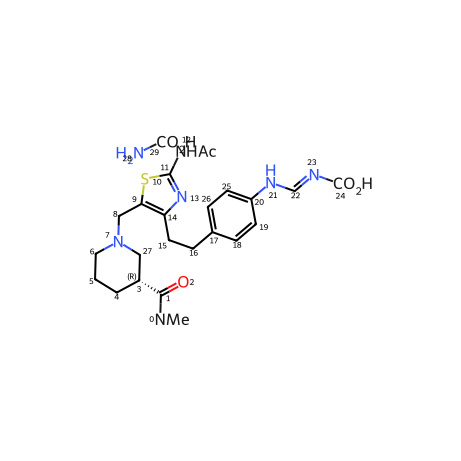 CNC(=O)[C@@H]1CCCN(Cc2sc(NC(C)=O)nc2CCc2ccc(NC=NC(=O)O)cc2)C1.NC(=O)O